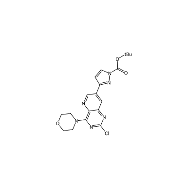 CC(C)(C)OC(=O)n1ccc(-c2cnc3c(N4CCOCC4)nc(Cl)nc3c2)n1